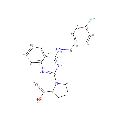 O=C(O)C1CCCN1c1nc(NCc2ccc(F)cc2)c2ccccc2n1